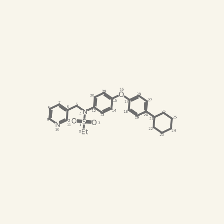 CCS(=O)(=O)N(Cc1cccnc1)c1ccc(Oc2ccc(C3CCCCC3)cc2)cc1